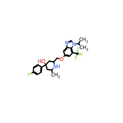 CC1CC(O)(c2ccc(F)cc2)CC(COc2cc(C(F)(F)F)c3c(c2)ncn3C(C)C)N1